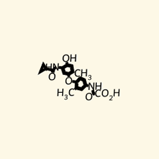 Cc1cc(NC(=O)C(=O)O)cc(C)c1Oc1ccc(O)c(NC(=O)C2CC2)c1